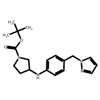 CC(C)(C)OC(=O)N1CCC(Nc2ccc(Cn3cccn3)cc2)C1